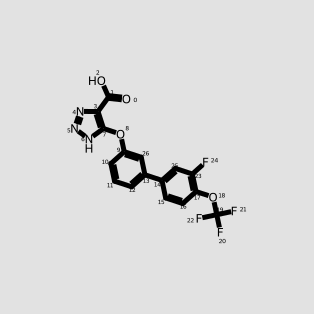 O=C(O)c1nn[nH]c1Oc1cccc(-c2ccc(OC(F)(F)F)c(F)c2)c1